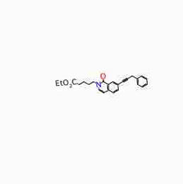 CCOC(=O)CCCCn1ccc2ccc(C#CCc3ccccc3)cc2c1=O